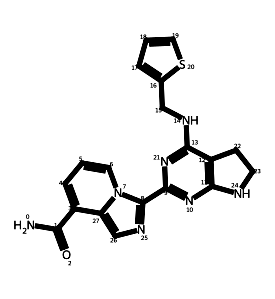 NC(=O)c1cccn2c(-c3nc4c(c(NCc5cccs5)n3)CCN4)ncc12